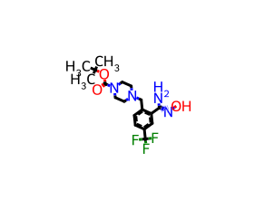 CC(C)(C)OC(=O)N1CCN(Cc2ccc(C(F)(F)F)cc2/C(N)=N/O)CC1